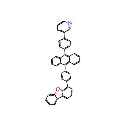 c1cncc(-c2ccc(-c3c4ccccc4c(-c4ccc(-c5cccc6c5oc5ccccc56)cc4)c4ccccc34)cc2)c1